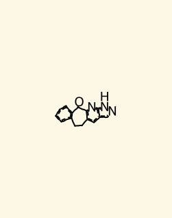 O=C1c2ccccc2CCc2cc3cn[nH]c3nc21